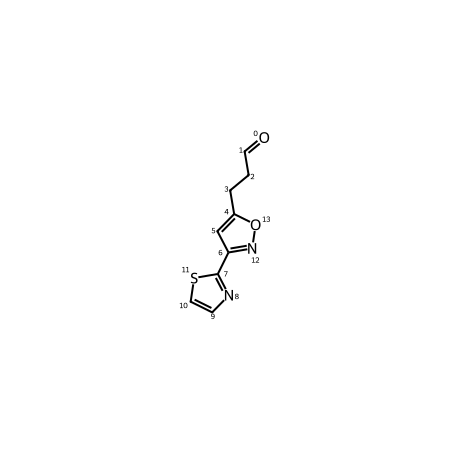 O=CCCc1cc(-c2nccs2)no1